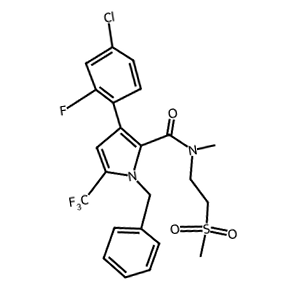 CN(CCS(C)(=O)=O)C(=O)c1c(-c2ccc(Cl)cc2F)cc(C(F)(F)F)n1Cc1ccccc1